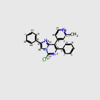 Cc1cc(-c2c(-c3ccccc3)nc(Cl)n3cc(-c4ccccc4)nc23)ccn1